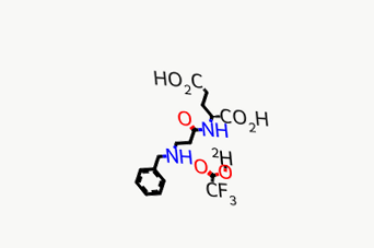 O=C(O)CC[C@H](NC(=O)CCNCc1ccccc1)C(=O)O.[2H]OC(=O)C(F)(F)F